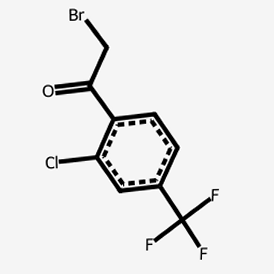 O=C(CBr)c1ccc(C(F)(F)F)cc1Cl